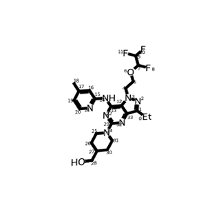 CCc1nn(CCOC(F)C(F)F)c2c(Nc3cc(C)ccn3)nc(N3CCC(CO)CC3)nc12